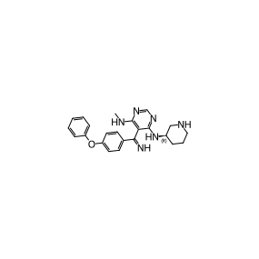 CNc1ncnc(N[C@@H]2CCCNC2)c1C(=N)c1ccc(Oc2ccccc2)cc1